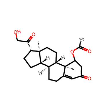 CCC(=O)OC1CC(=O)C=C2CC[C@H]3[C@@H]4CC[C@H](C(=O)CO)[C@@]4(C)CC[C@@H]3[C@]21C